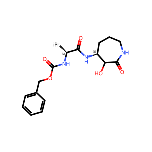 CC(C)[C@H](NC(=O)OCc1ccccc1)C(=O)N[C@H]1CCCNC(=O)C1O